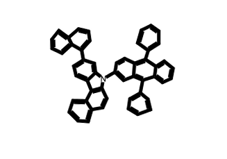 c1ccc(-c2c3ccccc3c(-c3ccccc3)c3cc(-n4c5cc(-c6cccc7ccccc67)ccc5c5c6ccccc6ccc54)ccc23)cc1